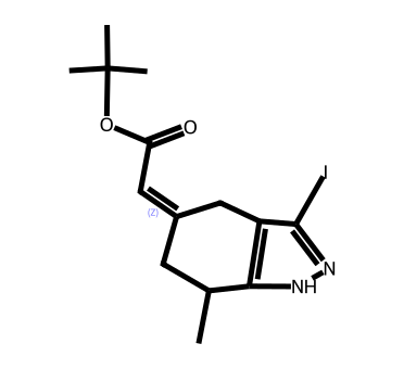 CC1C/C(=C/C(=O)OC(C)(C)C)Cc2c(I)n[nH]c21